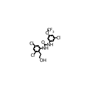 O=C(Nc1cc(Cl)cc(OC(F)(F)F)c1)Nc1cc(Cl)cc(Cl)c1CCO